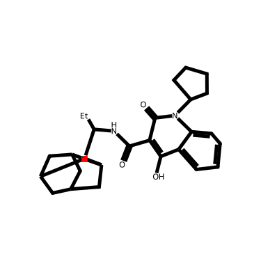 CCC(NC(=O)c1c(O)c2ccccc2n(C2CCCC2)c1=O)N1C2CC3CC(C2)CC1C3